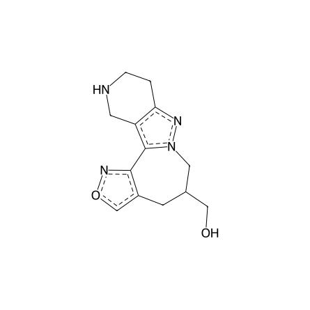 OCC1Cc2conc2-c2c3c(nn2C1)CCNC3